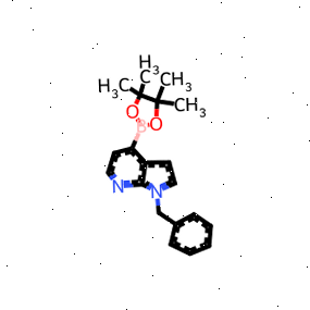 CC1(C)OB(c2ccnc3c2ccn3Cc2ccccc2)OC1(C)C